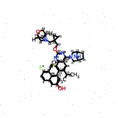 C#Cc1c(F)ccc2cc(O)cc(-c3c(C(C)C)cc4c(N5CC6CCC(C5)N6)nc(OCC5(CN6C[C@H]7C[C@@H]6CO7)CC5)nc4c3F)c12